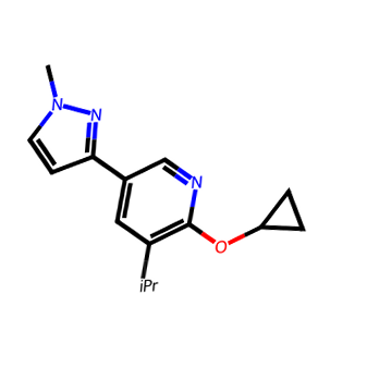 CC(C)c1cc(-c2ccn(C)n2)cnc1OC1CC1